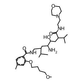 COCCCCOc1cc(C)ccc1C(=O)NCC(CC(N)C(O)CC(C(=O)NCCN1CCOCC1)C(C)C)C(C)C